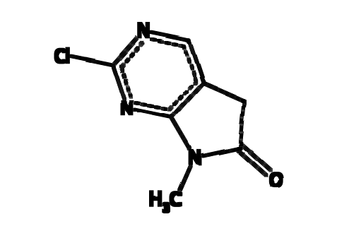 CN1C(=O)Cc2cnc(Cl)nc21